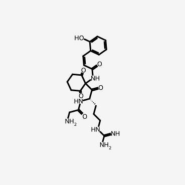 N=C(N)NCCC[C@H](NC(=O)CN)C(=O)C1(NC(=O)/C=C\c2ccccc2O)C(=O)CCCC1=O